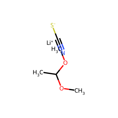 COC(C)OC.N#C[S-].[Li+]